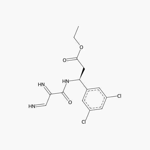 CCOC(=O)C[C@H](NC(=O)C(=N)C=N)c1cc(Cl)cc(Cl)c1